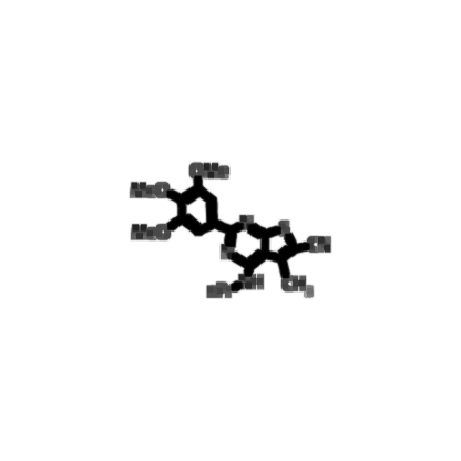 CCCNc1nc(-c2cc(OC)c(OC)c(OC)c2)nc2sc(C#N)c(C)c12